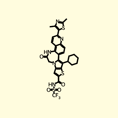 Cc1nc(C)c(-c2ccc3c4c(ccc3n2)-c2c(C3CCCCC3)c3sc(C(=O)NS(=O)(=O)C(F)(F)F)cc3n2CC(=O)N4)s1